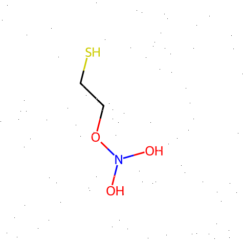 ON(O)OCCS